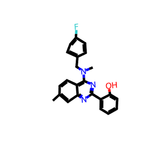 Cc1ccc2c(N(C)Cc3ccc(F)cc3)nc(-c3ccccc3O)nc2c1